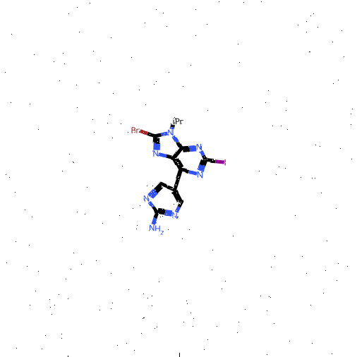 CC(C)n1c(Br)nc2c(-c3cnc(N)nc3)nc(I)nc21